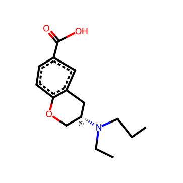 CCCN(CC)[C@@H]1COc2ccc(C(=O)O)cc2C1